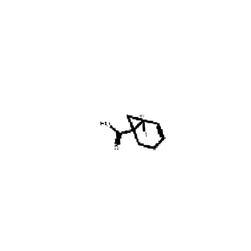 O=C(O)C12CCC=C[C@H]1C2